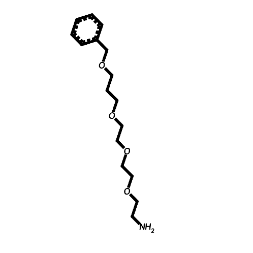 NCCOCCOCCOCCCOCc1ccccc1